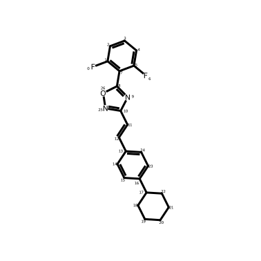 Fc1cccc(F)c1-c1nc(/C=C/c2ccc(C3CCCCC3)cc2)no1